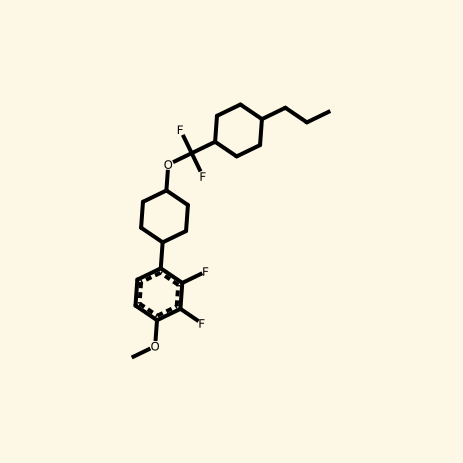 CCCC1CCC(C(F)(F)OC2CCC(c3ccc(OC)c(F)c3F)CC2)CC1